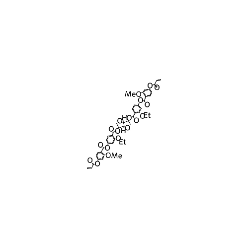 C=CC(=O)Oc1ccc(C(=O)Oc2ccc(C(=O)O[C@H]3CO[C@H]4[C@@H]3OC[C@H]4OC(=O)c3ccc(OC(=O)c4ccc(OC(=O)C=C)cc4OC)cc3OCC)c(OCC)c2)c(OC)c1